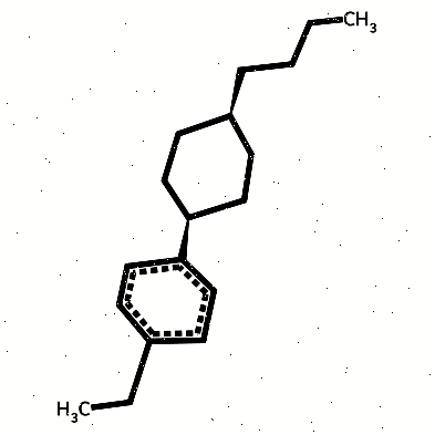 CCCC[C@H]1CC[C@@H](c2ccc(CC)cc2)CC1